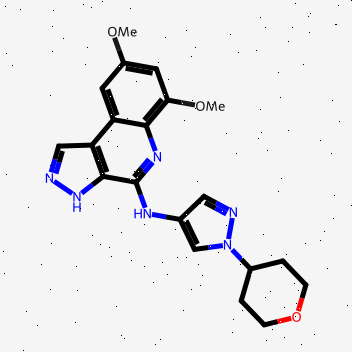 COc1cc(OC)c2nc(Nc3cnn(C4CCOCC4)c3)c3[nH]ncc3c2c1